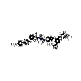 CC[C@@H](C(=O)NCc1ccc(-c2scnc2C)cc1OC1CC2(CCN(/C(N)=C/C=C(\N)C(=O)Nc3cccc(Sc4cnc(N5CCC(C)CC5)cn4)c3Cl)CC2)C1)N(C)C